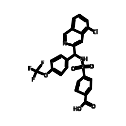 O=C(O)c1ccc(S(=O)(=O)NC(c2ccc(OC(F)(F)F)cc2)c2cc3c(Cl)cccc3cn2)cc1